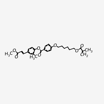 C=C(C)C(=O)OCCCCCCOc1ccc(C(=O)Oc2ccc(/C=C/C(=O)OC)cc2C)cc1